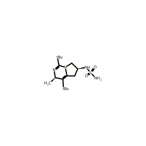 C[C@H]1N=C(C(C)(C)C)N2C[C@@H](NS(N)(=O)=O)CC2=C1C(C)(C)C